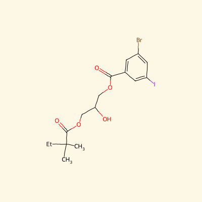 CCC(C)(C)C(=O)OCC(O)COC(=O)c1cc(Br)cc(I)c1